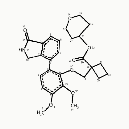 COc1ccc(-c2cccc3c2CNC3=O)c(OCC2(C(=O)OC3CCOCC3)CCC2)c1OC